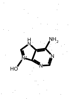 Nc1ncnc2c1[nH]c[n+]2O